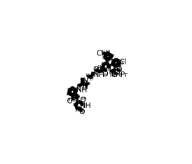 CC(C)C(CS(=O)(=O)C(C)C)N1C(=O)[C@@](C)(CC(=O)NCCCn2cnc(CNc3cccc4c3CN(C3CCC(=O)NC3=O)C4=O)c2)C[C@H](c2cccc(Cl)c2)[C@H]1c1ccc(Cl)cc1